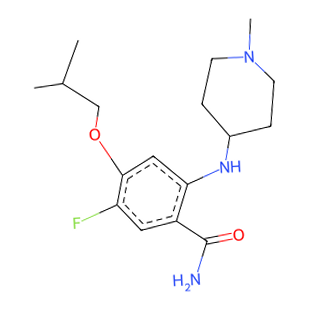 CC(C)COc1cc(NC2CCN(C)CC2)c(C(N)=O)cc1F